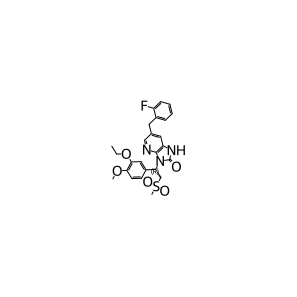 CCOc1cc([C@H](CS(C)(=O)=O)n2c(=O)[nH]c3cc(Cc4ccccc4F)cnc32)ccc1OC